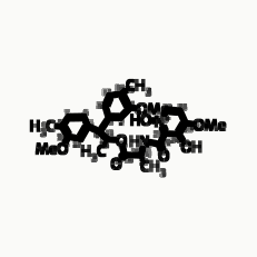 COc1cc(C(c2ccc(C)c(OC)c2)[C@H](C)OC(=O)[C@H](C)NC(=O)c2c(O)c(OC)cc[n+]2O)ccc1C